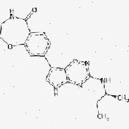 CC[C@H](C)Nc1ncc2c(-c3ccc4c(c3)OCCNC4=O)c[nH]c2n1